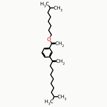 C=C(CCCCCCCC(C)C)c1cccc(C(=C)OCCCCCCC(C)C)c1